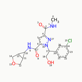 CNC(=O)c1cc(C(=O)NC2C3COCC32)n(C(CO)c2cccc(Cl)c2)n1